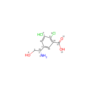 Cl.N[C@H](CO)c1ccc(Cl)c(C(=O)O)c1